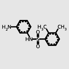 Cc1cccc(S(=O)(=O)Nc2cccc(N)c2)c1C